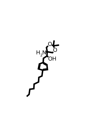 CCCCCCCCc1ccc(CC(O)C2(N)COC(C)(C)OC2)cc1